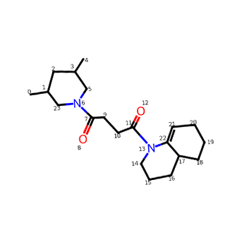 CC1CC(C)CN(C(=O)CCC(=O)N2CCCC3CCCC=C32)C1